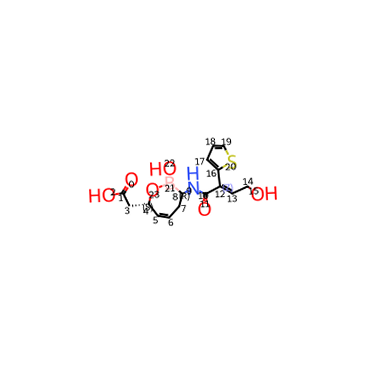 O=C(O)C[C@H]1C=CC[C@H](NC(=O)/C(=C/CO)c2cccs2)B(O)O1